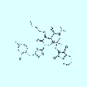 CCCCOc1c2n(cc(-c3ncc(Cc4ccc(F)cc4F)s3)c1=O)C(C)(CN1C(=O)C3=C(CCC=C3)C1=O)CN(C(C)C)C2=O